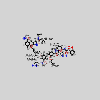 CNC[C@H]1CNC[C@H]1CN(C(=O)c1ccc(C)c(OCCCOC)c1)C(C)C.COCCCOc1c(C)ccc(C(=O)NC(C)C)c1C[C@@H]1CNC[C@H]1CN(C(=O)CC(C)(C)NC(C)=O)C1CC1.COCCCOc1cc(C(=O)N(C(C)C)C2(C[C@@H]3CNC[C@H]3CN(C)C(=O)[C@@H](O)c3ccccc3)CC(C(=O)O)CCO2)ccc1C